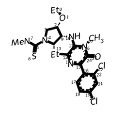 CCO[C@H]1CN(C(=S)NC)C[C@H]1Nc1c(CC)nc(-c2ccc(Cl)cc2Cl)c(=O)n1C